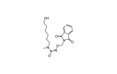 CN(CCCCCCO)/[N+]([O-])=N\OCN1C(=O)c2ccccc2C1=O